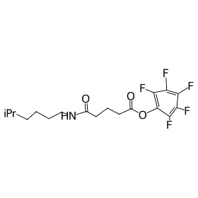 CC(C)CCCCNC(=O)CCCC(=O)Oc1c(F)c(F)c(F)c(F)c1F